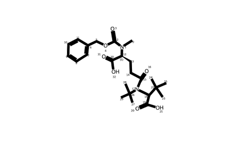 CN(C(=O)OCc1ccccc1)[C@@H](CCC(=O)N(C(C(=O)O)C(C)(C)C)C(C)(C)C)C(=O)O